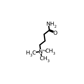 C[N+](C)(C)CCCC(N)=O